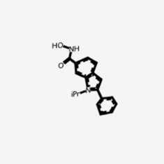 CC(C)n1c(-c2ccccc2)cc2ccc(C(=O)NO)cc21